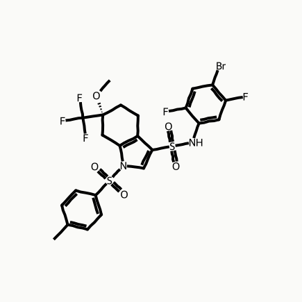 CO[C@]1(C(F)(F)F)CCc2c(S(=O)(=O)Nc3cc(F)c(Br)cc3F)cn(S(=O)(=O)c3ccc(C)cc3)c2C1